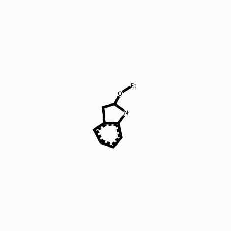 CCOC1Cc2ccccc2[N]1